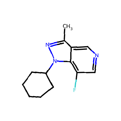 Cc1nn(C2CCCCC2)c2c(F)cncc12